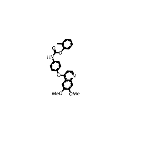 COc1cc2nccc(Oc3ccc(NC(=O)Oc4ccccc4C)cc3)c2cc1OC